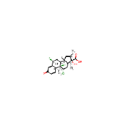 C[C@@H]1C[C@H]2[C@@H]3C[C@H](F)C4=CC(=O)C=C[C@]4(C)[C@@]3(Cl)[C@@H](Cl)C[C@]2(C)[C@@]1(O)C(=O)O